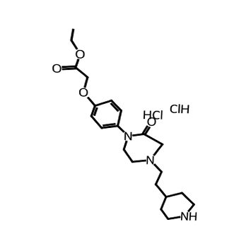 CCOC(=O)COc1ccc(N2CCN(CCC3CCNCC3)CC2=O)cc1.Cl.Cl